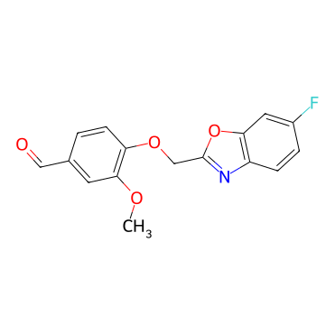 COc1cc(C=O)ccc1OCc1nc2ccc(F)cc2o1